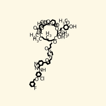 CO[C@H]1C[C@@H](C)C/C(C)=C/[C@@H](CCCC(=O)N2CCN(Cc3ccc(-c4ccc5ncnc(Nc6ccc(OCc7cccc(F)c7)c(Cl)c6)c5c4)o3)CC2)C(=O)C[C@H](O)[C@@H](C)[C@@H](/C(C)=C/[C@@H]2CC[C@@H](O)[C@H](OC)C2)OC(=O)[C@@H]2CCCCN2C(=O)C(=O)[C@]2(O)O[C@H]1[C@@H](C=O)C[C@H]2C